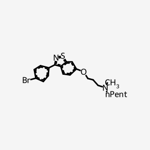 CCCCCN(C)CCCOc1ccc2c(-c3ccc(Br)cc3)nsc2c1